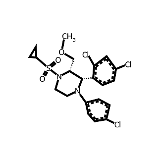 COC[C@@H]1[C@H](c2ccc(Cl)cc2Cl)N(c2ccc(Cl)cc2)CCN1S(=O)(=O)C1CC1